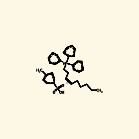 CCCCC/C=C\CC[PH](c1ccccc1)(c1ccccc1)c1ccccc1.Cc1ccc(S(=O)(=O)O)cc1